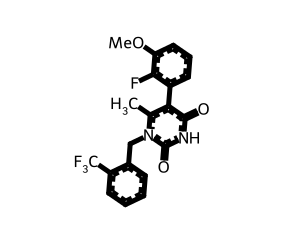 COc1cccc(-c2c(C)n(Cc3ccccc3C(F)(F)F)c(=O)[nH]c2=O)c1F